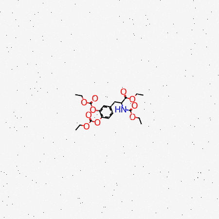 CCOC(=O)NC(Cc1ccc(OC(=O)OCC)c(OC(=O)OCC)c1)C(=O)OCC